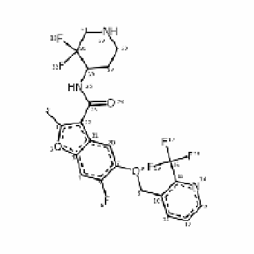 Cc1oc2cc(F)c(OCc3cccnc3C(F)(F)F)cc2c1C(=O)NC1CCNCC1(F)F